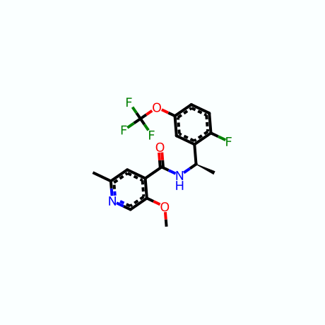 COc1cnc(C)cc1C(=O)N[C@H](C)c1cc(OC(F)(F)F)ccc1F